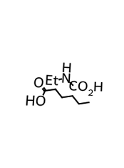 CCCCCC(=O)O.CCNC(=O)O